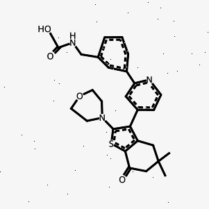 CC1(C)CC(=O)c2sc(N3CCOCC3)c(-c3ccnc(-c4cccc(CNC(=O)O)c4)c3)c2C1